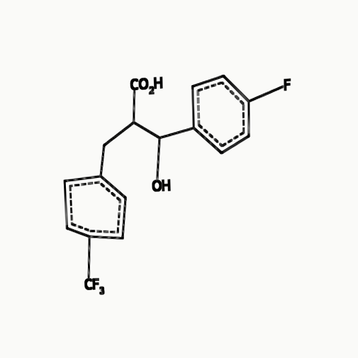 O=C(O)C(Cc1ccc(C(F)(F)F)cc1)C(O)c1ccc(F)cc1